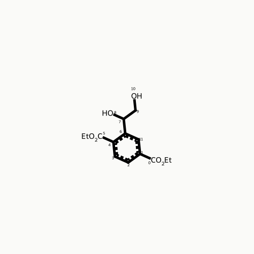 CCOC(=O)c1ccc(C(=O)OCC)c(C(O)CO)c1